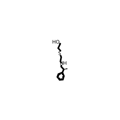 C[C@H](CNCCSCCCO)c1ccccc1